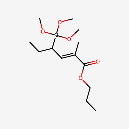 CCCOC(=O)C(C)=CC(CC)[Si](OC)(OC)OC